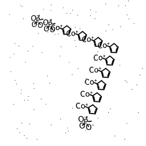 CP(C)([O-])([O-])[O-].CP(C)([O-])([O-])[O-].CP(C)([O-])([O-])[O-].[Co+][C]1=CC=CC1.[Co+][C]1=CC=CC1.[Co+][C]1=CC=CC1.[Co+][C]1=CC=CC1.[Co+][C]1=CC=CC1.[Co+][C]1=CC=CC1.[Co+][C]1=CC=CC1.[Co+][C]1=CC=CC1.[Co+][C]1=CC=CC1